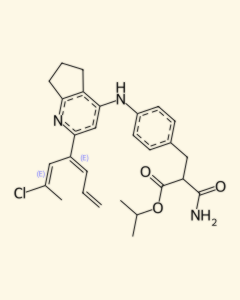 C=C/C=C(\C=C(/C)Cl)c1cc(Nc2ccc(CC(C(N)=O)C(=O)OC(C)C)cc2)c2c(n1)CCC2